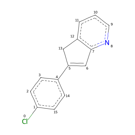 Clc1ccc(C2=Cc3ncccc3C2)cc1